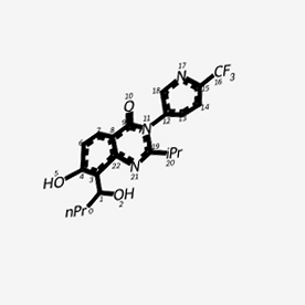 CCCC(O)c1c(O)ccc2c(=O)n(-c3ccc(C(F)(F)F)nc3)c(C(C)C)nc12